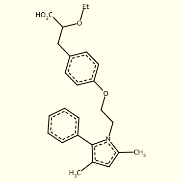 CCOC(Cc1ccc(OCCn2c(C)cc(C)c2-c2ccccc2)cc1)C(=O)O